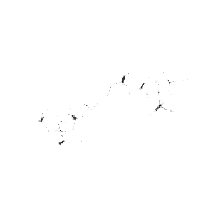 O=C(O)CC(O)(CC(=O)OC(=O)CCCCC(=O)OC(=O)CC(O)(CC(=O)O)C(=O)O)C(=O)O